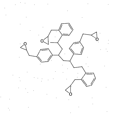 CC(CC(CC(CCc1ccccc1CC1CO1)c1ccc(CC2CO2)cc1)c1ccc(CC2CO2)cc1)c1ccccc1CC1CO1